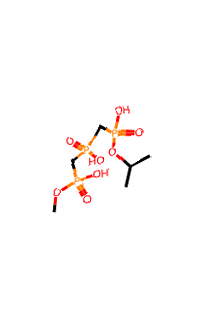 COP(=O)(O)CP(=O)(O)CP(=O)(O)OC(C)C